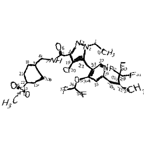 CCn1nc(C(=O)NCC2CCC(S(C)(=O)=O)CC2)c(Cl)c1-c1cnc(C[C@H](C)C(F)(F)F)cc1OC(F)F